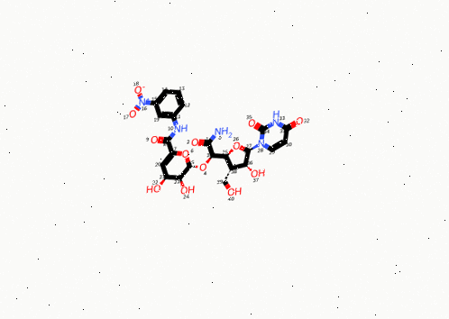 NC(=O)[C@H](O[C@H]1OC(C(=O)Nc2cccc([N+](=O)[O-])c2)=C[C@H](O)[C@@H]1O)[C@H]1O[C@@H](n2ccc(=O)[nH]c2=O)[C@H](O)[C@@H]1CO